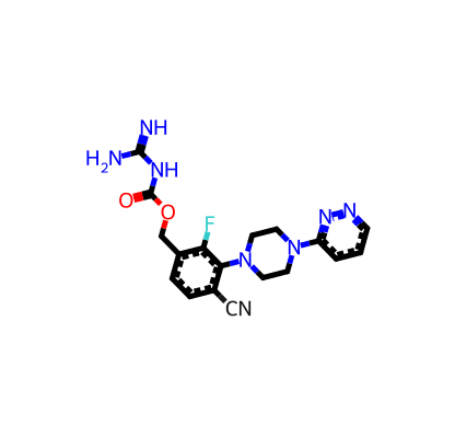 N#Cc1ccc(COC(=O)NC(=N)N)c(F)c1N1CCN(c2cccnn2)CC1